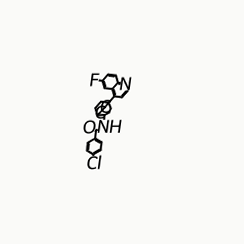 O=C(NC1CCC2(c3ccnc4ccc(F)cc34)CCC1CC2)c1ccc(Cl)cc1